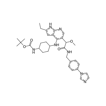 CCc1cc2c(NC3CCC(NC(=O)OC(C)(C)C)CC3)c(C(OC)C(=O)NCc3ccc(-n4ccnc4)cc3)cnc2[nH]1